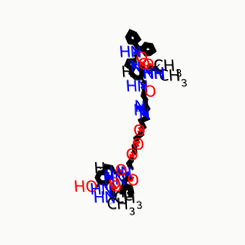 CN[C@@H](C)C(=O)N[C@@H]1C(=O)N2[C@@H](CC[C@@H]1CNC(=O)CCc1cn(CCCOCCOCCOCCCNC(=O)[C@@H](NC(=O)[C@@H]3CC[C@@H]4CC[C@H](CO)[C@H](NC(=O)[C@H](C)NC)C(=O)N43)c3ccccc3)nn1)CC[C@H]2C(=O)NC(c1ccccc1)c1ccccc1